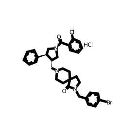 Cl.O=C(c1ccccc1Cl)N1C[C@H](CN2CCC3(CC2)CCN(Cc2ccc(Br)cc2)C3=O)[C@@H](c2ccccc2)C1